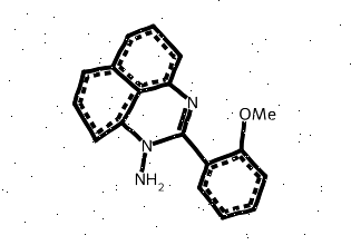 COc1ccccc1C1=Nc2cccc3cccc(c23)N1N